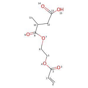 C=CC(=O)OCCOC(=O)C(C)CC(=O)O